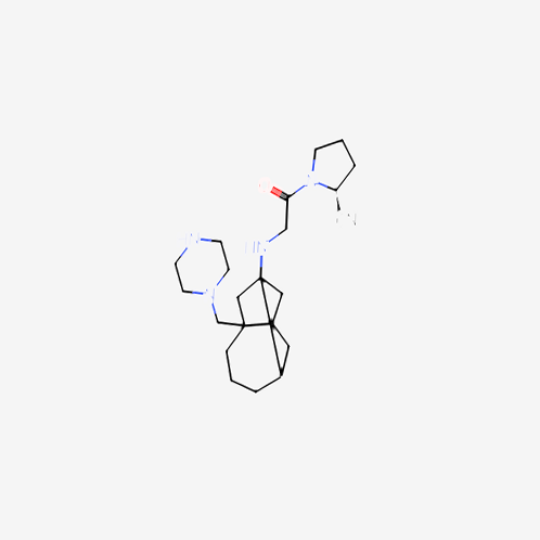 N#C[C@@H]1CCCN1C(=O)CNC12CC3CC1CCCC3(CN1CCNCC1)C2